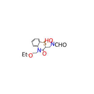 CCOCCN1C(=O)C(CN(O)C=O)Sc2ccccc21